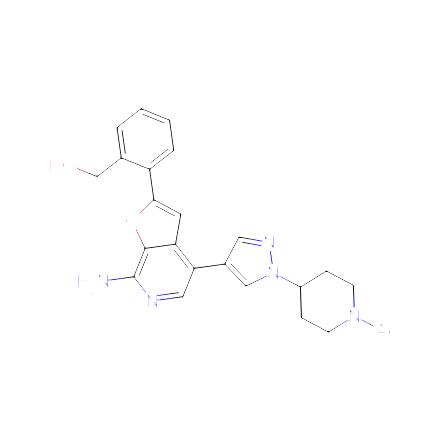 CC(=O)N1CCC(n2cc(-c3cnc(N)c4oc(-c5ccccc5CO)cc34)cn2)CC1